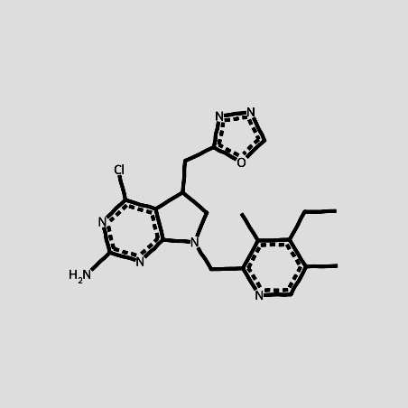 CCc1c(C)cnc(CN2CC(Cc3nnco3)c3c(Cl)nc(N)nc32)c1C